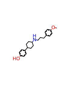 COc1ccc(CCCNC2CCC(c3ccc(O)cc3)CC2)cc1